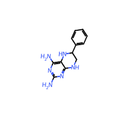 Nc1nc(N)c2c(n1)NCC(c1ccccc1)N2